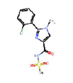 CC(C)S(=O)(=O)NC(=O)c1cn(C)c(-c2ccccc2Cl)n1